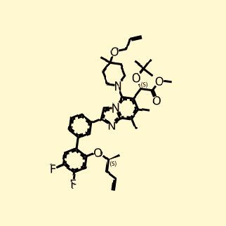 C=CCOC1(C)CCN(c2c([C@H](OC(C)(C)C)C(=O)OC)c(C)c(C)c3nc(-c4cccc(-c5cc(F)c(F)cc5O[C@@H](C)CC=C)c4)cn23)CC1